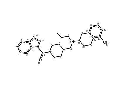 CCCN(CC1CCN(C(=O)c2n[nH]c3ccccc23)CC1)C1CCc2c(O)cccc2C1